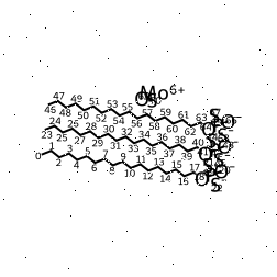 CCCCCCCCCCCCCCCCCCOP([O-])(=S)[S-].CCCCCCCCCCCCCCCCCCOP([O-])(=S)[S-].CCCCCCCCCCCCCCCCCCOP([O-])(=S)[S-].O=S.[Mo+6]